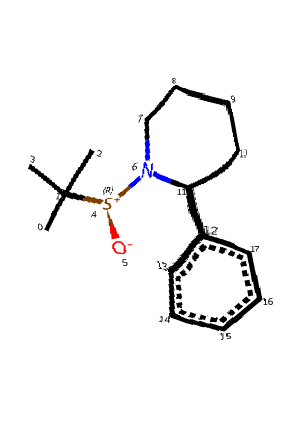 CC(C)(C)[S@+]([O-])N1CCCCC1c1ccccc1